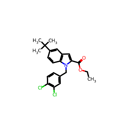 CCOC(=O)c1cc2cc(C(C)(C)C)ccc2n1Cc1ccc(Cl)c(Cl)c1